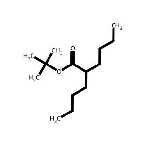 CCCCC(CCCC)C(=O)OC(C)(C)C